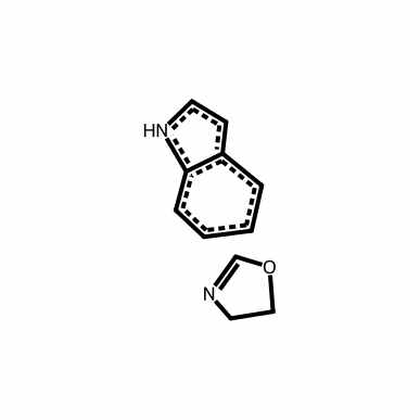 C1=NCCO1.c1ccc2[nH]ccc2c1